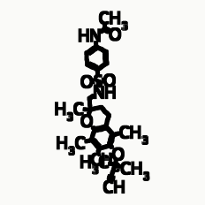 C#CC(C)(C)Oc1c(C)c(C)c2c(c1C)CCC(C)(CNS(=O)(=O)c1ccc(NC(C)=O)cc1)O2